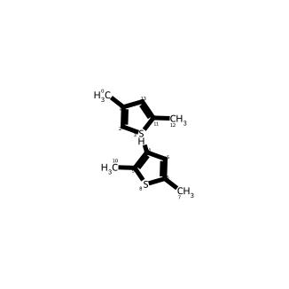 CC1=C[SH](c2cc(C)sc2C)C(C)=C1